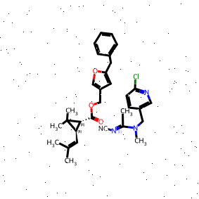 C/C(=N\C#N)N(C)Cc1ccc(Cl)nc1.CC(C)=C[C@@H]1[C@@H](C(=O)OCc2coc(Cc3ccccc3)c2)C1(C)C